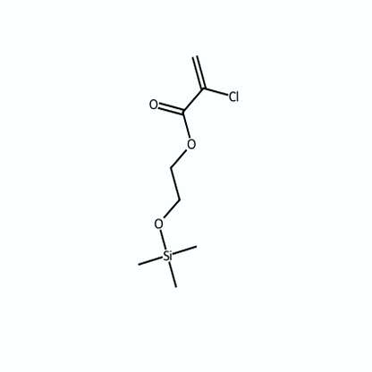 C=C(Cl)C(=O)OCCO[Si](C)(C)C